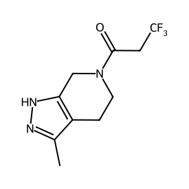 Cc1n[nH]c2c1CCN(C(=O)CC(F)(F)F)C2